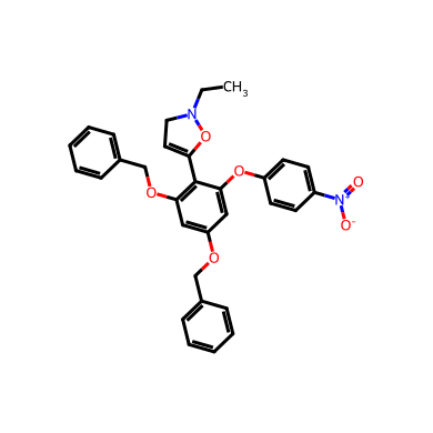 CCN1CC=C(c2c(OCc3ccccc3)cc(OCc3ccccc3)cc2Oc2ccc([N+](=O)[O-])cc2)O1